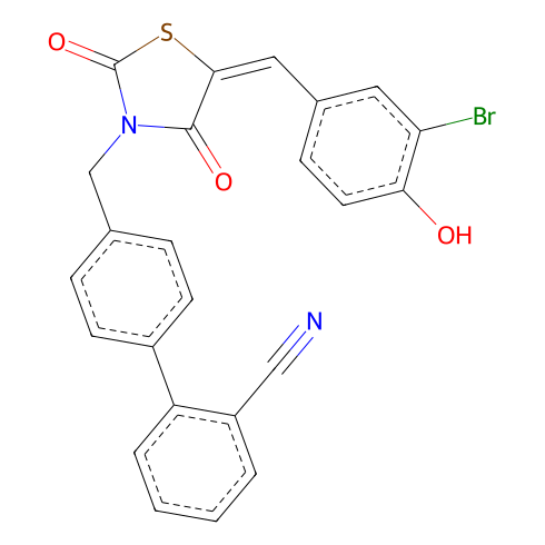 N#Cc1ccccc1-c1ccc(CN2C(=O)SC(=Cc3ccc(O)c(Br)c3)C2=O)cc1